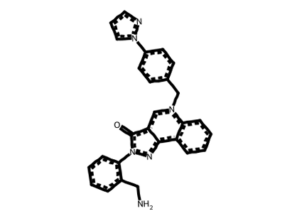 NCc1ccccc1-n1nc2c3ccccc3n(Cc3ccc(-n4cccn4)cc3)cc-2c1=O